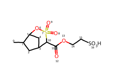 CC1CC2CC1OS(=O)(=O)C2C(=O)OCCS(=O)(=O)O